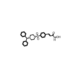 O=C(/C=C/c1ccc(S(=O)(=O)N2CCN(C(c3ccccc3)c3ccccc3)CC2)cc1)NO